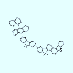 CC1(C)c2ccc(-c3c4ccccc4c(-c4cccc5ccccc45)c4ccccc34)cc2-c2ccc(-c3ccc4c(c3)-c3ccc5c(ccc6sc7ccccc7c65)c3C4(C)C)cc21